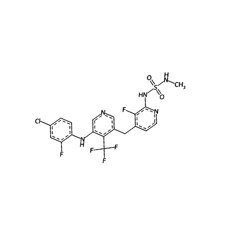 CNS(=O)(=O)Nc1nccc(Cc2cncc(Nc3ccc(Cl)cc3F)c2C(F)(F)F)c1F